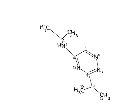 CC(C)Nc1cnnc(C(C)C)n1